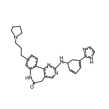 O=C1Cc2cnc(NC3C=CC=C(c4ncc[nH]4)C3)nc2-c2ccc(CCCN3CCCC3)cc2N1